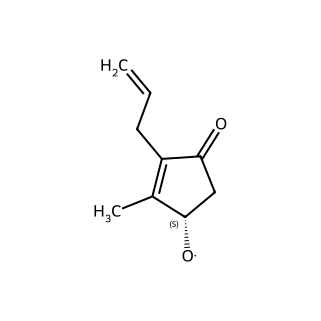 C=CCC1=C(C)[C@@H]([O])CC1=O